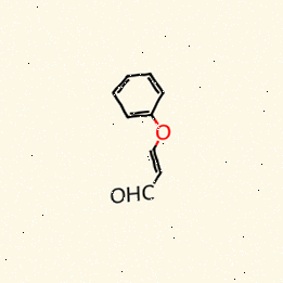 O=CC=COc1ccccc1